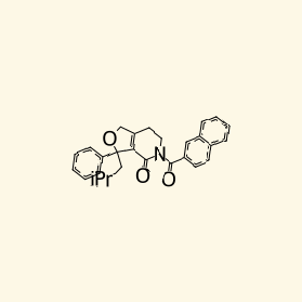 CC(C)CC1(c2ccccc2)OCC2=C1C(=O)N(C(=O)c1ccc3ccccc3c1)CC2